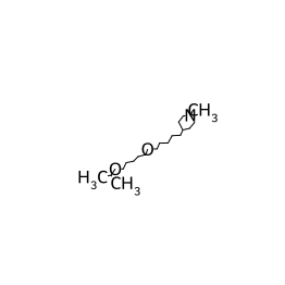 CC(C)OCCCCCOCCCCCC1CCN(C)CC1